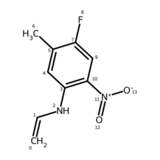 C=CNc1cc(C)c(F)cc1[N+](=O)[O-]